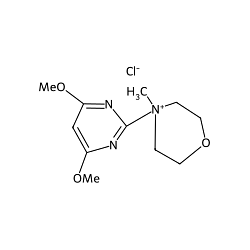 COc1cc(OC)nc([N+]2(C)CCOCC2)n1.[Cl-]